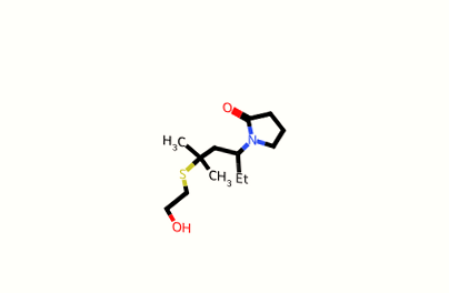 CCC(CC(C)(C)SCCO)N1CCCC1=O